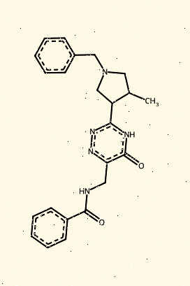 CC1CN(Cc2ccccc2)CC1c1nnc(CNC(=O)c2ccccc2)c(=O)[nH]1